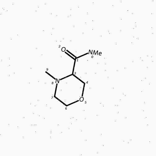 CNC(=O)C1COCCN1C